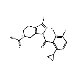 O=C(O)[C@H]1CCc2c(I)nn(C(=O)c3c(C4CC4)ccc(F)c3Cl)c2C1